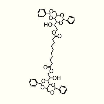 O=C(CCCCCCCCC(=O)OCC(O)C1OC(c2ccccc2)OC2COC(c3ccccc3)OC21)OCC(O)C1OC(c2ccccc2)OC2COC(c3ccccc3)OC21